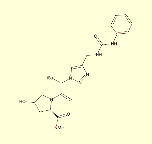 CNC(=O)[C@H]1CC(O)CN1C(=O)C(n1cc(CNC(=O)Nc2ccccc2)nn1)C(C)(C)C